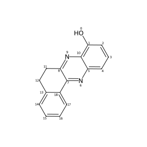 Oc1cccc2nc3c(nc12)CCc1ccccc1-3